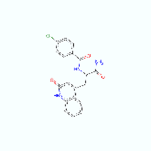 NC(=O)C(Cc1cc(=O)[nH]c2ccccc12)NC(=O)c1ccc(Cl)cc1